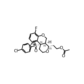 CC(=O)OCC[C@@H]1OCC[C@@]2(S(=O)(=O)c3ccc(Cl)cc3)c3c(F)ccc(F)c3OC[C@@H]12